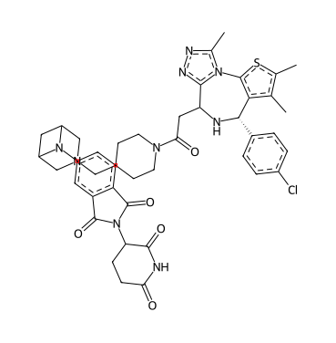 Cc1sc2c(c1C)[C@H](c1ccc(Cl)cc1)NC(CC(=O)N1CCC(CN3CC4CC(C3)N4c3ccc4c(c3)C(=O)N(C3CCC(=O)NC3=O)C4=O)CC1)c1nnc(C)n1-2